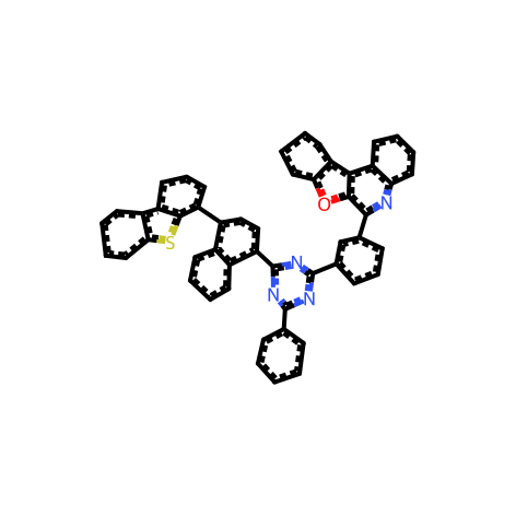 c1ccc(-c2nc(-c3cccc(-c4nc5ccccc5c5c4oc4ccccc45)c3)nc(-c3ccc(-c4cccc5c4sc4ccccc45)c4ccccc34)n2)cc1